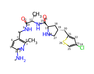 Cc1nc(N)ccc1CNC(=O)[C@H](C)NC(=O)[C@H]1C[C@H](Cc2cc(Cl)cs2)CN1